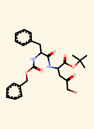 CC(C)(C)OC(=O)C(CC(=O)CBr)NC(=O)C(Cc1ccccc1)NC(=O)OCc1ccccc1